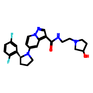 O=C(NCCN1CCC(O)C1)c1cnn2ccc(N3CCC[C@@H]3c3cc(F)ccc3F)cc12